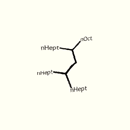 CCCCCCCCC(CCCCCCC)CC(CCCCCCC)CCCCCCC